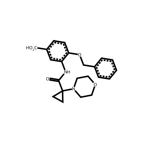 O=C(O)c1ccc(OCc2ccccc2)c(NC(=O)C2(N3CCOCC3)CC2)c1